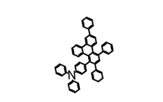 C1=CC(c2cc(-c3ccccc3)c3c4ccc(-c5ccccc5)cc4c4ccccc4c3c2-c2ccc(N(c3ccccc3)c3ccccc3)cc2)=CCC1